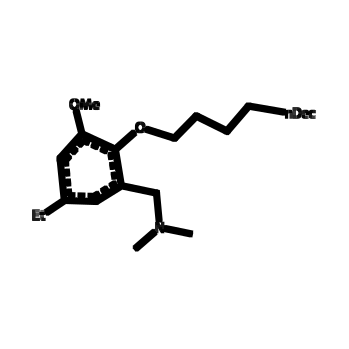 CCCCCCCCCCCCCCOc1c(CN(C)C)cc(CC)cc1OC